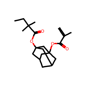 C=C(C)C(=O)OC12CC3CC(C1)CC(OC(=O)C(C)(C)CC)(C3)C2